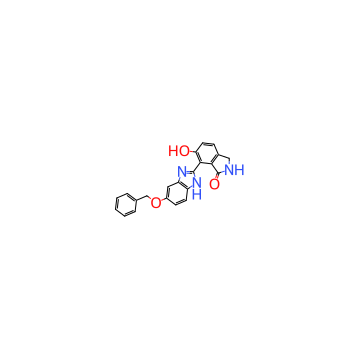 O=C1NCc2ccc(O)c(-c3nc4cc(OCc5ccccc5)ccc4[nH]3)c21